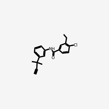 C#CC(C)(C)c1cccc(NC(=O)c2ccc(Cl)c(CC)c2)c1